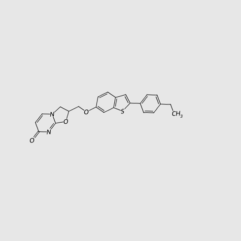 CCc1ccc(-c2cc3ccc(OCC4Cn5ccc(=O)nc5O4)cc3s2)cc1